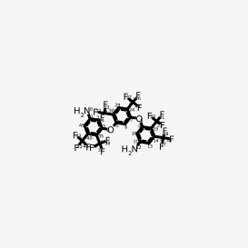 Nc1cc(Oc2cc(Oc3cc(N)cc(C(F)(F)F)c3C(F)(F)F)c(C(F)(F)F)cc2C(F)(F)F)c(C(F)(F)F)c(C(F)(F)F)c1